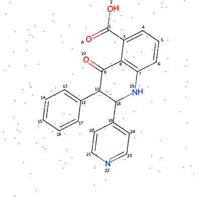 O=C(O)c1cccc2c1C(=O)C(c1ccccc1)C(c1ccncc1)N2